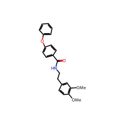 COc1ccc(CCNC(=O)c2ccc(Oc3ccccc3)cc2)cc1OC